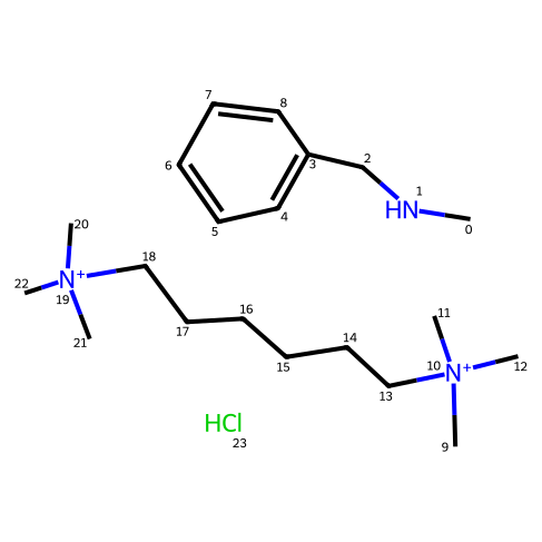 CNCc1ccccc1.C[N+](C)(C)CCCCCC[N+](C)(C)C.Cl